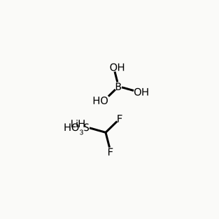 O=S(=O)(O)C(F)F.OB(O)O.[LiH]